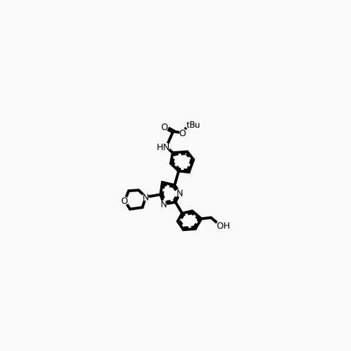 CC(C)(C)OC(=O)Nc1cccc(-c2cc(N3CCOCC3)nc(-c3cccc(CO)c3)n2)c1